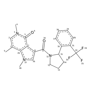 Cc1cn(C)c(=O)c2c(C(=O)N3CCCC3c3ccccc3C(F)(F)F)cn(C)c12